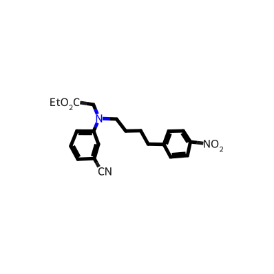 CCOC(=O)CN(CCCCc1ccc([N+](=O)[O-])cc1)c1cccc(C#N)c1